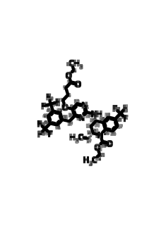 CCOC(=O)CCCOc1cnc(N[C@H]2C[C@@H](CC)N(C(=O)OCC)c3ccc(C(F)(F)F)cc32)nc1Cc1cc(C(F)(F)F)cc(C(F)(F)F)c1